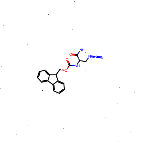 [N-]=[N+]=NCC(NC(=O)OCC1c2ccccc2-c2ccccc21)C(N)=O